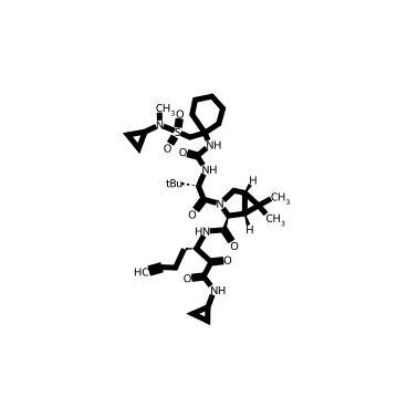 C#CCC[C@H](NC(=O)[C@@H]1[C@@H]2[C@H](CN1C(=O)[C@@H](NC(=O)NC1(CS(=O)(=O)N(C)C3CC3)CCCCC1)C(C)(C)C)C2(C)C)C(=O)C(=O)NC1CC1